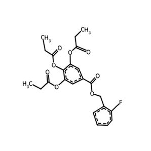 CCC(=O)Oc1cc(C(=O)OCc2ccccc2F)cc(OC(=O)CC)c1OC(=O)CC